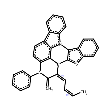 C=C1/C(=C\C=C/C)B2c3sc4ccccc4c3-n3c4ccccc4c4ccc(c2c43)N1c1ccccc1